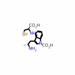 C[C@@H](N)Cc1cn(C(=O)O)c2ccccc12.N[C@@H](CS)C(=O)O